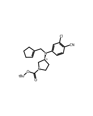 CC(C)(C)OC(=O)N1CC[C@H](N(CC2=CCCC2)c2ccc(C#N)c(Cl)c2)C1